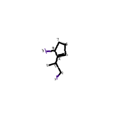 CC(CI)C1=CCCC1I